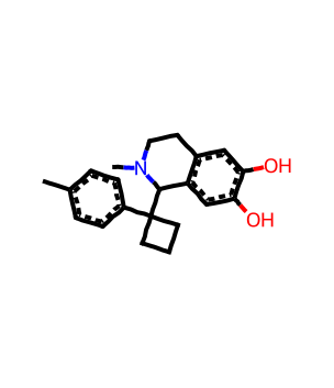 Cc1ccc(C2(C3c4cc(O)c(O)cc4CCN3C)CCC2)cc1